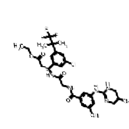 CCOC(=O)C[C@H](NC(=O)CNC(=O)c1cc(O)cc(NC2=NCC(O)CN2)c1)c1cc(Cl)cc(C(C)(C)C(F)(F)F)c1